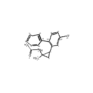 NC(=O)NC1(C(=O)O)CC1c1cc(Cl)ccc1-c1ccccc1